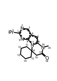 CC(C)c1ncc2cc3n(c2n1)C1(CCCCC1)CC(=O)N3C